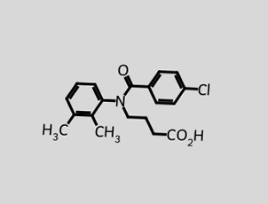 Cc1cccc(N(CCCC(=O)O)C(=O)c2ccc(Cl)cc2)c1C